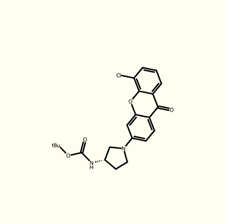 CC(C)(C)OC(=O)N[C@H]1CCN(c2ccc3c(=O)c4cccc(Cl)c4oc3c2)C1